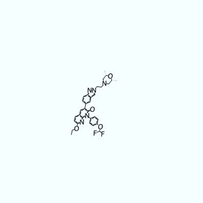 CCOc1ccc2cc(-c3ccc4nn(CCN5C[C@@H](C)O[C@@H](C)C5)cc4c3)c(=O)n(-c3ccc(OC(F)F)cc3)c2n1